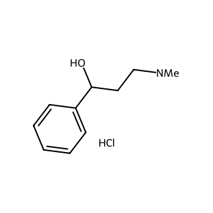 CNCCC(O)c1ccccc1.Cl